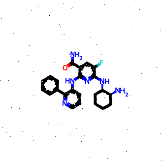 NC(=O)c1cc(F)c(N[C@@H]2CCCC[C@@H]2N)nc1Nc1cccnc1-c1ccccc1